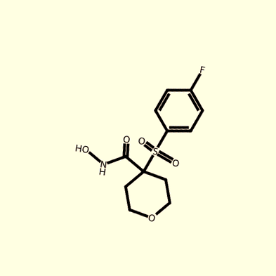 O=C(NO)C1(S(=O)(=O)c2ccc(F)cc2)CCOCC1